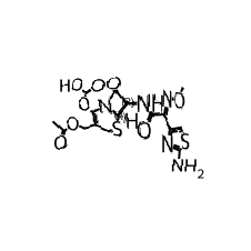 CON=C(C(=O)N[C@@H]1C(=O)N2C(OC(=O)O)=C(COC(C)=O)CS[C@H]12)c1csc(N)n1